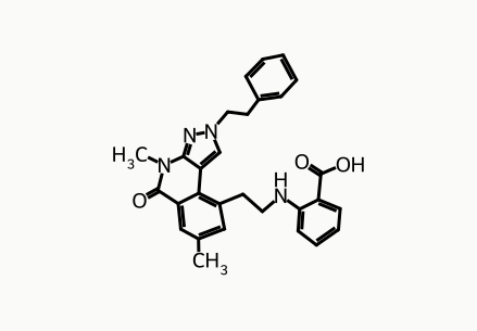 Cc1cc(CCNc2ccccc2C(=O)O)c2c(c1)c(=O)n(C)c1nn(CCc3ccccc3)cc21